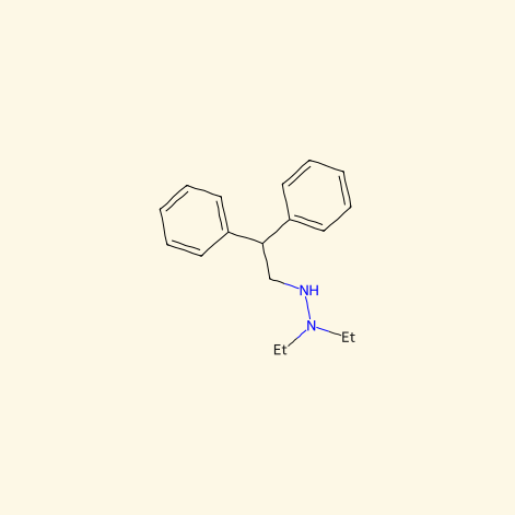 CCN(CC)NCC(c1ccccc1)c1ccccc1